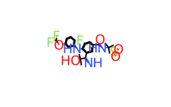 CC1(NC(=O)c2cc(F)c(Nc3cccc(OC(F)F)c3)c(C(=N)C(C)(C)O)c2)CS(=O)(=O)C1